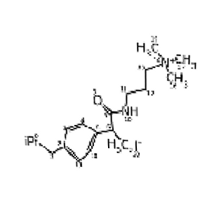 CC(C)Cc1ccc(C(C)C(=O)NCCC[N+](C)(C)C)cc1.[I-]